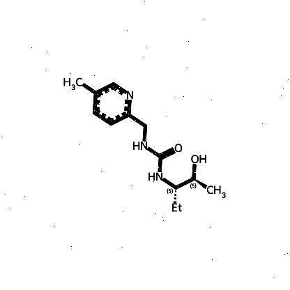 CC[C@H](NC(=O)NCc1ccc(C)cn1)[C@H](C)O